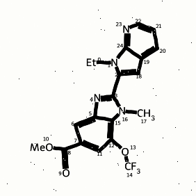 CCn1c(-c2nc3cc(C(=O)OC)cc(OC(F)(F)F)c3n2C)cc2cccnc21